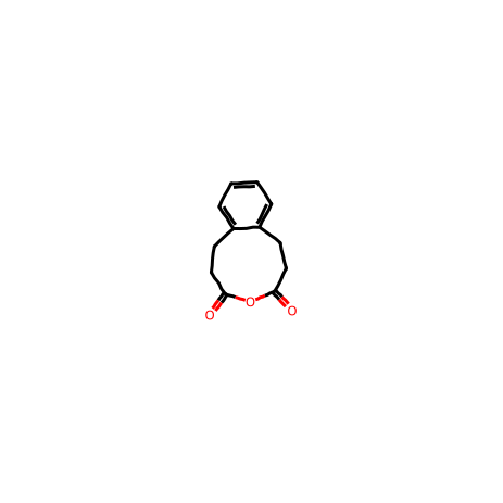 O=C1CCc2ccccc2CCC(=O)O1